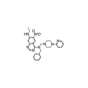 CCNc1cc2ncnc(N(Cc3ccccc3)CN3CCN(c4ccccn4)CC3)c2cc1[N+](=O)[O-]